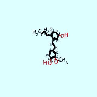 C/C=C/Cc1c(C)cc(O)cc1/C=C/c1ccc(O)c(OC)c1